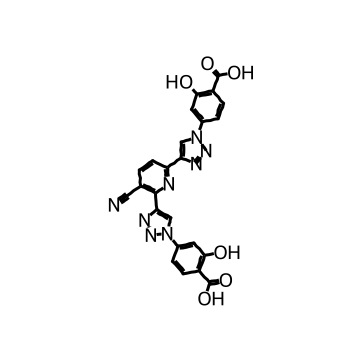 N#Cc1ccc(-c2cn(-c3ccc(C(=O)O)c(O)c3)nn2)nc1-c1cn(-c2ccc(C(=O)O)c(O)c2)nn1